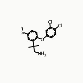 CSc1ccc(Oc2ccc(Cl)c(Cl)c2)c(C(C)(C)CN)c1